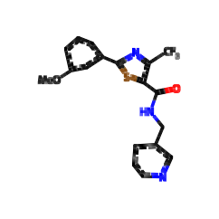 COc1cccc(-c2nc(C(F)(F)F)c(C(=O)NCc3cccnc3)s2)c1